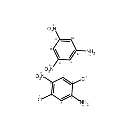 Nc1cc(Cl)c([N+](=O)[O-])cc1Cl.Nc1cc([N+](=O)[O-])cc([N+](=O)[O-])c1